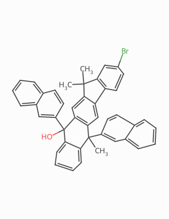 CC1(C)c2cc(Br)ccc2-c2cc3c(cc21)C(O)(c1ccc2ccccc2c1)c1ccccc1C3(C)c1ccc2ccccc2c1